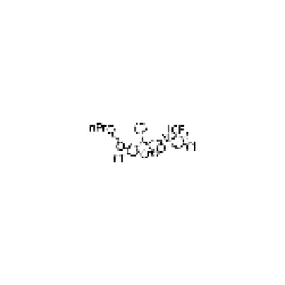 CCCOCCOc1cc2c(-c3ccccc3)c(CC(=O)Nc3ccc(Cl)cc3C(F)(F)F)c(=O)oc2cc1Cl